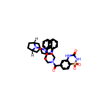 Cc1nc2ccccc2n1C1C[C@H]2CC[C@@H](C1)N2CCC1(c2ccccc2)CCN(C(=O)c2ccc3c(c2)NC(=O)NS3(=O)=O)CC1